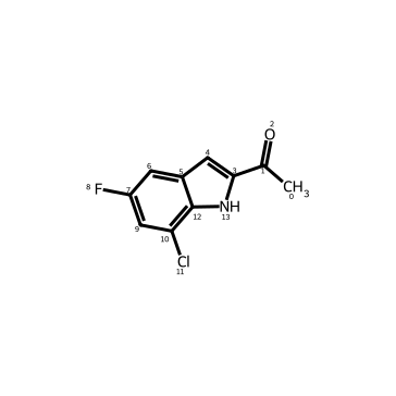 CC(=O)c1cc2cc(F)cc(Cl)c2[nH]1